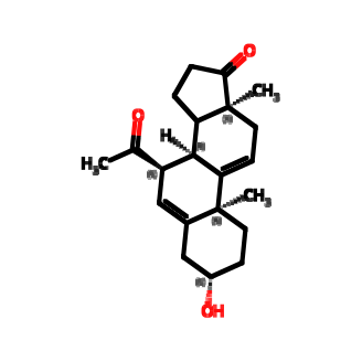 CC(=O)[C@@H]1C=C2C[C@@H](O)CC[C@]2(C)C2=CC[C@]3(C)C(=O)CCC3[C@@H]21